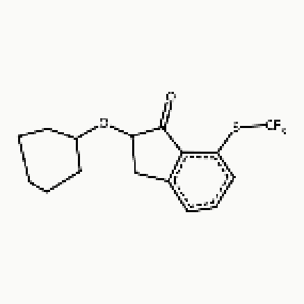 O=C1c2c(cccc2SC(F)(F)F)CC1OC1CCCCC1